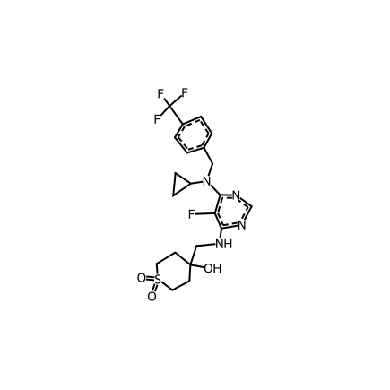 O=S1(=O)CCC(O)(CNc2ncnc(N(Cc3ccc(C(F)(F)F)cc3)C3CC3)c2F)CC1